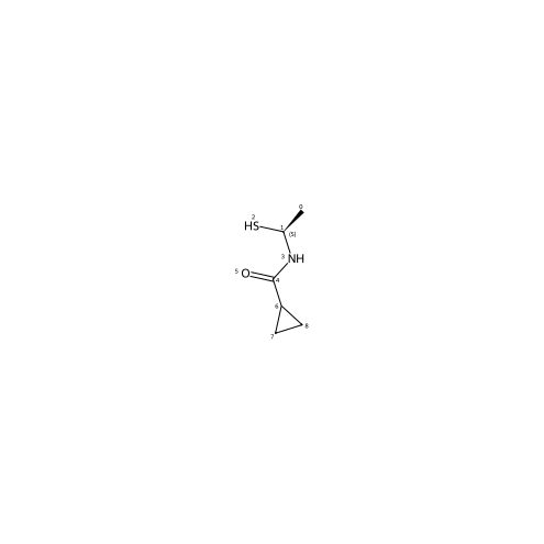 C[C@H](S)NC(=O)C1CC1